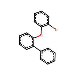 Brc1ccccc1Oc1ccccc1-c1ccccc1